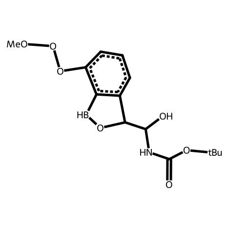 COOOc1cccc2c1BOC2C(O)NC(=O)OC(C)(C)C